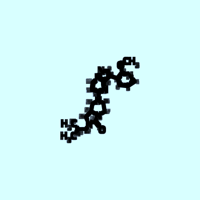 COc1ncccc1-c1cnn2ccc(N3CCN4C(=O)N(CC(C)C)CC4C3)nc12